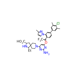 CCC1NC(C(=O)O)CC12CCN(c1cc(O[C@H](c3ccc(-c4cc(C)c(Cl)c(C)c4)cc3-n3ccc(C)n3)C(F)(F)F)nc(N)n1)CC2